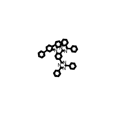 c1ccc(-c2ccc3c4ccccc4n(-c4ccc(-c5nc(-c6ccccc6)nc(-c6ccccc6)n5)cc4-c4nc(-c5ccccc5)c5ccccc5n4)c3c2)cc1